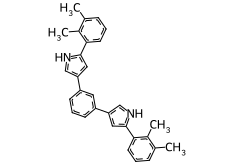 Cc1cccc(-c2cc(-c3cccc(-c4c[nH]c(-c5cccc(C)c5C)c4)c3)c[nH]2)c1C